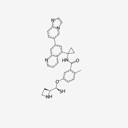 Cc1ccc(O[C@@H](S)[C@@H]2CCN2)cc1C(=O)NC1(c2cc(-c3ccc4nccn4c3)cc3ncccc23)CC1